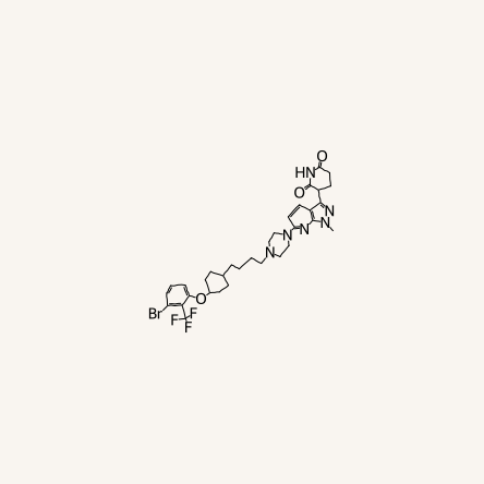 Cn1nc(C2CCC(=O)NC2=O)c2ccc(N3CCN(CCCCC4CCC(Oc5cccc(Br)c5C(F)(F)F)CC4)CC3)nc21